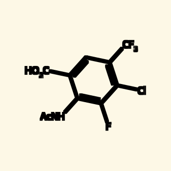 CC(=O)Nc1c(C(=O)O)cc(C(F)(F)F)c(Cl)c1F